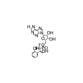 C=C(c1ccccc1O)C(F)(F)P(=O)(O)OC[C@H]1O[C@@H](n2cnc3c(N)ncnc32)C(O)[C@H]1O